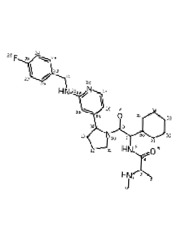 CNC(C)C(=O)NC(C(=O)N1CCCC1c1ccnc(NCc2ccc(F)cc2)c1)C1CCCCC1